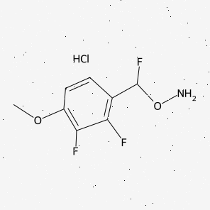 COc1ccc(C(F)ON)c(F)c1F.Cl